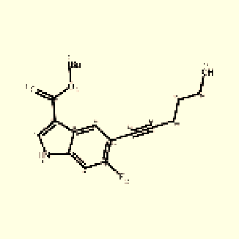 CC(C)(C)OC(=O)c1c[nH]c2cc(F)c(C#CCCCO)cc12